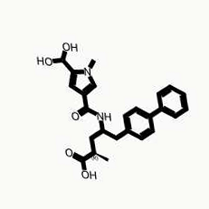 C[C@H](CC(Cc1ccc(-c2ccccc2)cc1)NC(=O)c1cc(C(O)O)n(C)c1)C(=O)O